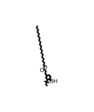 CCCCCCCCCCCCCCCCCCCCOC(=O)CCc1ccc(O)c(C(C)(C)CC)c1